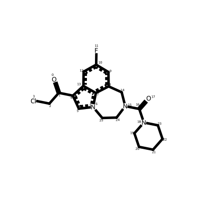 O=C(CCl)c1cn2c3c(cc(F)cc13)CN(C(=O)N1CCCCC1)CC2